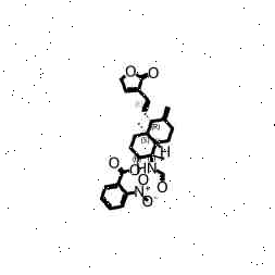 C=C1CC[C@H]2[C@@](C)(CC[C@@H](OC(=O)c3ccccc3[N+](=O)[O-])[C@@]2(C)NC=O)[C@@H]1/C=C/C1=CCOC1=O